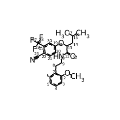 COc1ccccc1CCNC(=O)C(CC(C)C)Oc1ccc(C#N)c(C(F)(F)F)c1